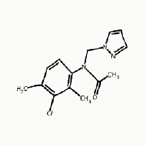 CC(=O)N(Cn1cccn1)c1ccc(C)c(Cl)c1C